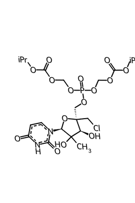 CC(C)OC(=O)OCOP(=O)(OCOC(=O)OC(C)C)OC[C@@]1(CCl)O[C@H](n2ccc(=O)[nH]c2=O)C(C)(O)[C@@H]1O